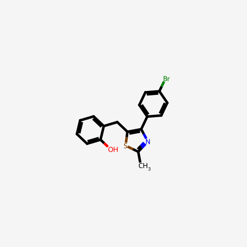 Cc1nc(-c2ccc(Br)cc2)c(Cc2ccccc2O)s1